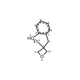 CCC1(Cc2ccccc2O)COC1